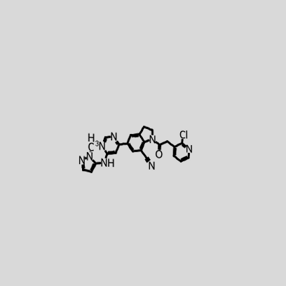 Cn1nccc1Nc1cc(-c2cc(C#N)c3c(c2)CCN3C(=O)Cc2cccnc2Cl)ncn1